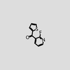 O=C(c1cccs1)c1cccnc1F